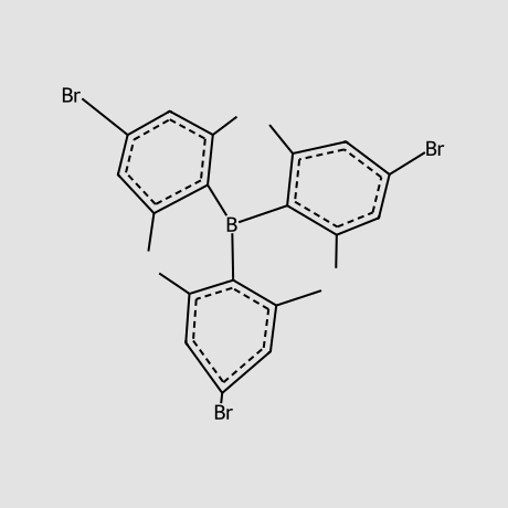 Cc1cc(Br)cc(C)c1B(c1c(C)cc(Br)cc1C)c1c(C)cc(Br)cc1C